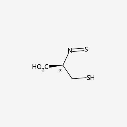 O=C(O)[C@H](CS)N=S